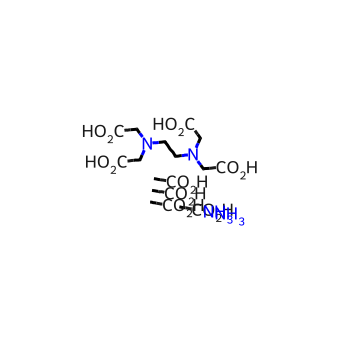 CC(=O)O.CC(=O)O.CC(=O)O.CC(=O)O.N.N.O=C(O)CN(CCN(CC(=O)O)CC(=O)O)CC(=O)O